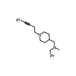 CC(C)C#CCCN1CCC(CN(C)CC(C)C)CC1